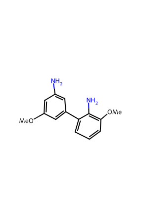 COc1cc(N)cc(-c2cccc(OC)c2N)c1